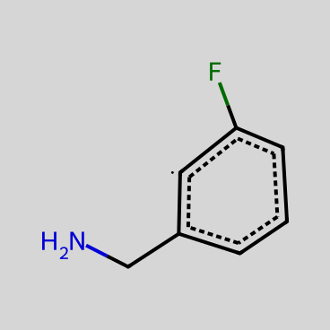 NCc1[c]c(F)ccc1